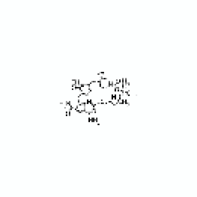 CCCCOc1nc(N)c2cc(C(N)=O)n(Cc3ccc(CN4CCN(C(=O)OC(C)(C)C)CC45CC5)cc3OC)c2n1